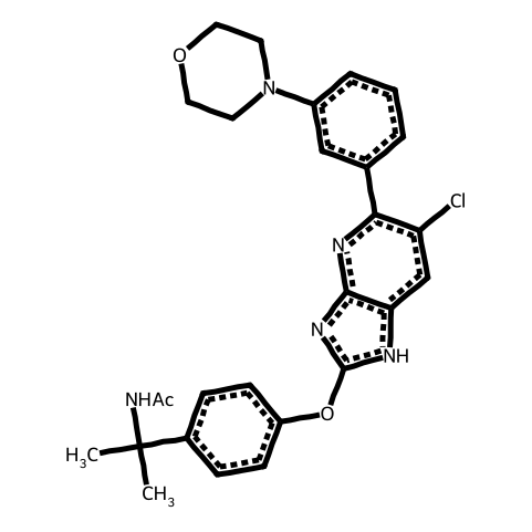 CC(=O)NC(C)(C)c1ccc(Oc2nc3nc(-c4cccc(N5CCOCC5)c4)c(Cl)cc3[nH]2)cc1